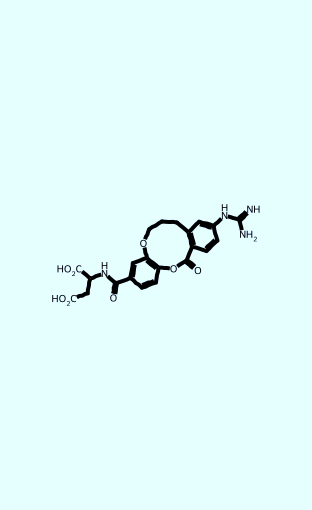 N=C(N)Nc1ccc2c(c1)CCCOc1cc(C(=O)NC(CC(=O)O)C(=O)O)ccc1OC2=O